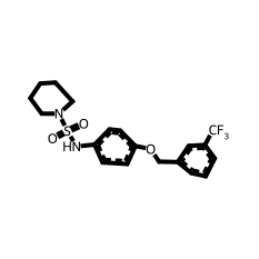 O=S(=O)(Nc1ccc(OCc2cccc(C(F)(F)F)c2)cc1)N1CCCCC1